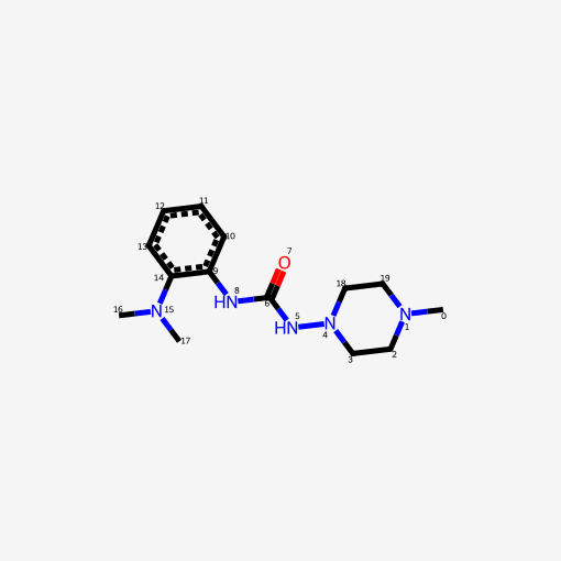 CN1CCN(NC(=O)Nc2ccccc2N(C)C)CC1